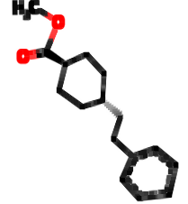 COC(=O)[C@H]1CC[C@H](CCc2ccccc2)CC1